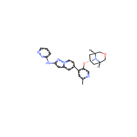 Cc1cc(-c2ccn3nc(Nc4cccnn4)cc3c2)c(O[C@H]2C[C@H]3COC[C@@H](C2)N3C)cn1